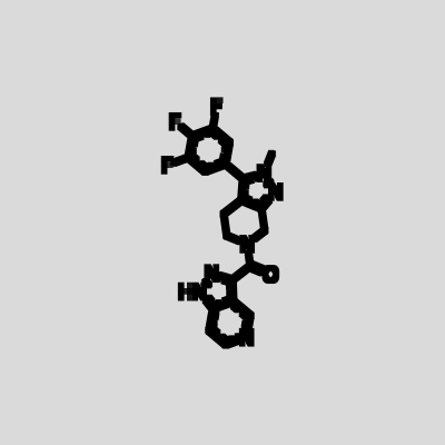 Cn1nc2c(c1-c1cc(F)c(F)c(F)c1)CCN(C(=O)c1n[nH]c3ccncc13)C2